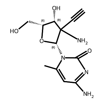 C#CC1(N)[C@@H](O)[C@@H](CO)O[C@H]1n1c(C)cc(N)nc1=O